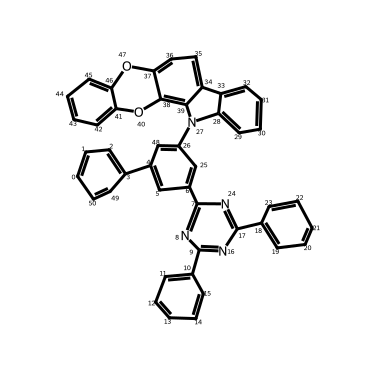 c1ccc(-c2cc(-c3nc(-c4ccccc4)nc(-c4ccccc4)n3)cc(-n3c4ccccc4c4ccc5c(c43)Oc3ccccc3O5)c2)cc1